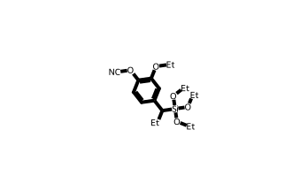 CCOc1cc(C(CC)[Si](OCC)(OCC)OCC)ccc1OC#N